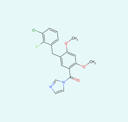 COc1cc(OC)c(C(=O)n2ccnc2)cc1Cc1cccc(Cl)c1F